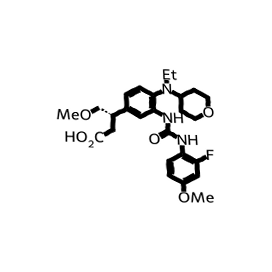 CCN(c1ccc([C@@H](COC)CC(=O)O)cc1NC(=O)Nc1ccc(OC)cc1F)C1CCOCC1